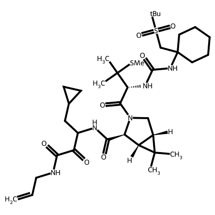 C=CCNC(=O)C(=O)C(CC1CC1)NC(=O)[C@@H]1[C@@H]2[C@H](CN1C(=O)[C@@H](NC(=O)NC1(CS(=O)(=O)C(C)(C)C)CCCCC1)C(C)(C)SC)C2(C)C